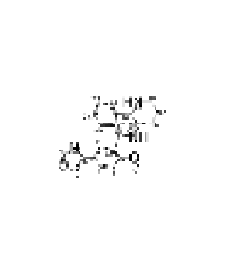 COc1ccc(-c2cocn2)cc1CNC1CCCNC1c1ccccc1